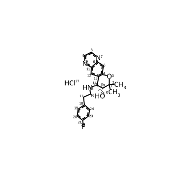 CC1(C)Oc2cc3nccnc3cc2[C@H](NCCc2ccc(F)cc2)[C@H]1O.Cl